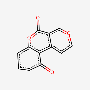 O=c1oc2cccc(=O)c2c2ccocc12